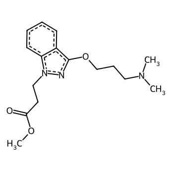 COC(=O)CCn1nc(OCCCN(C)C)c2ccccc21